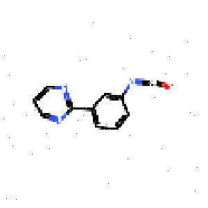 O=C=Nc1cccc(-c2ncccn2)c1